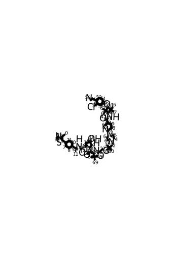 Cc1ncsc1-c1ccc([C@H](C)NC(=O)[C@@H]2C[C@@H](O)CN2C(=O)C(NC(=O)COC(C)(C)CN2CCN(c3ccc(C(=O)NC4C(C)(C)C(Oc5ccc(C#N)c(Cl)c5)C4(C)C)cn3)CC2)C(C)(C)C)cc1